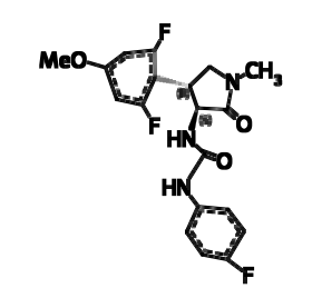 COc1cc(F)c([C@@H]2CN(C)C(=O)[C@H]2NC(=O)Nc2ccc(F)cc2)c(F)c1